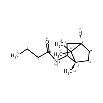 CCCC(=O)NC1C[C@H]2CC[C@@]1(C)C2(C)C